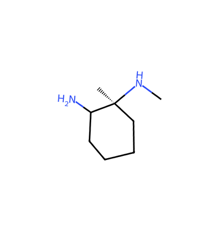 CN[C@@]1(C)CCCCC1N